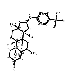 CN1C[C@@H]2[C@@H](CC[C@]3(C)CC(Oc4ccc(C(F)(F)F)cc4)C[C@@H]23)[C@@]2(C)CCC(=O)C=C12